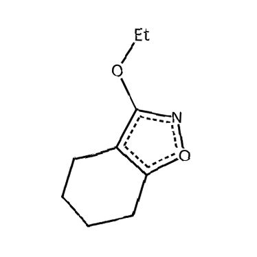 CCOc1noc2c1CCCC2